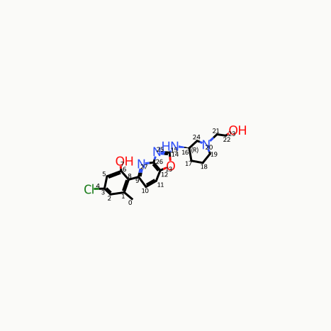 Cc1cc(Cl)cc(O)c1-c1ccc2oc(N[C@@H]3CCCN(CCO)C3)nc2n1